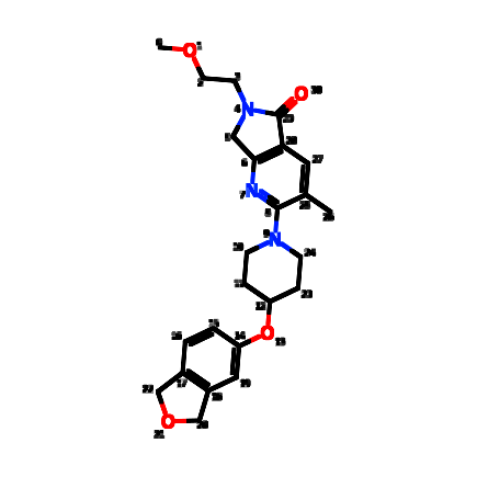 COCCN1Cc2nc(N3CCC(Oc4ccc5c(c4)COC5)CC3)c(C)cc2C1=O